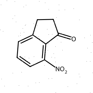 O=C1CCc2cccc([N+](=O)[O-])c21